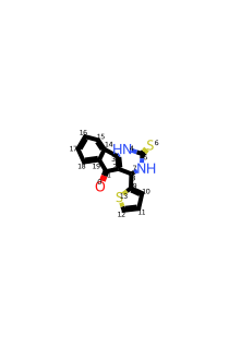 O=C1C2=C(NC(=S)NC2c2cccs2)c2ccccc21